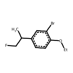 CCOc1ccc([C](C)CF)cc1Br